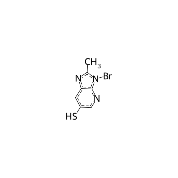 Cc1nc2cc(S)cnc2n1Br